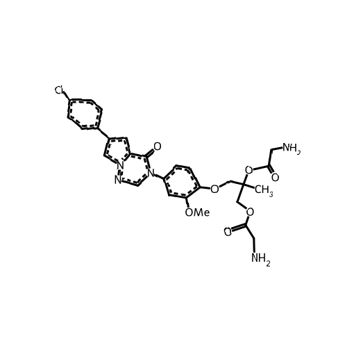 COc1cc(-n2cnn3cc(-c4ccc(Cl)cc4)cc3c2=O)ccc1OCC(C)(COC(=O)CN)OC(=O)CN